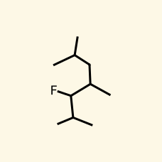 CC(C)CC(C)C(F)C(C)C